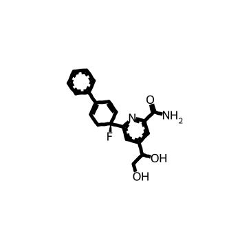 NC(=O)c1cc(C(O)CO)cc([C@@]2(F)C=CC(c3ccccc3)=CC2)n1